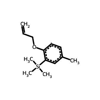 C=CCOc1[c]cc(C)cc1[Si](C)(C)C